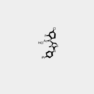 CC(=O)N(c1ccc(Cl)cc1F)C1CSC(=Nc2ccc(C(C)C)cc2)N1C.Cl